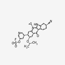 CC(C)Oc1cc2c(=O)c3c4ccc(C#N)cc4[nH]c3n(C3CC3)c2cc1-c1cncc(OS(=O)(=O)F)c1